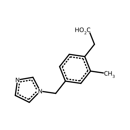 Cc1cc(Cn2ccnc2)ccc1CC(=O)O